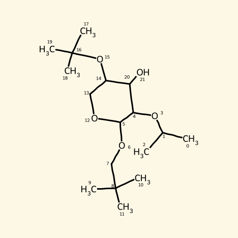 CC(C)OC1C(OCC(C)(C)C)OCC(OC(C)(C)C)C1O